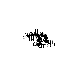 Cc1cc(Cl)cc2c1CN(C)C[C@H]2c1cccc(S(=O)(=O)N2CCC(C(CCNC(=O)NCCCCNC(=O)NCCCC(N)=O)(C(N)=O)C3CCN(S(=O)(=O)c4cccc([C@@H]5CN(C)Cc6c(C)cc(Cl)cc65)c4)CC3)CC2)c1